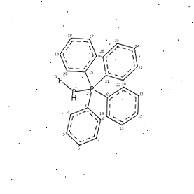 FPP(c1ccccc1)(c1ccccc1)(c1ccccc1)c1ccccc1